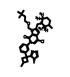 [2H]C1([2H])CCC(C)C([2H])([2H])N1Cc1cc2c(Cl)cn(-c3cccc(C4(c5nncn5C)CC(C)C4)c3)c(=O)c2n1COCC[Si](C)(C)C